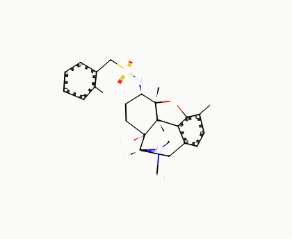 CC(=O)Oc1ccc2c3c1O[C@H]1[C@H](NS(=O)(=O)Cc4ccccc4C)CC[C@@]4(O)[C@@H](C2)N(C)CC[C@]314